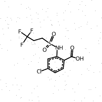 O=C(O)c1ccc(Cl)cc1NS(=O)(=O)CCC(F)(F)F